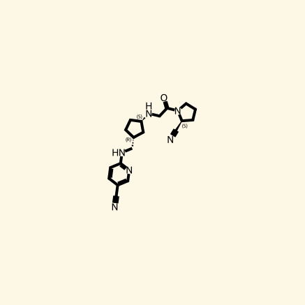 N#Cc1ccc(NC[C@@H]2CC[C@H](NCC(=O)N3CCC[C@H]3C#N)C2)nc1